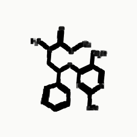 CCOC(=O)c1cnc(SC)nc1OC(CN(C)C(=O)OC(C)(C)C)c1ccccc1